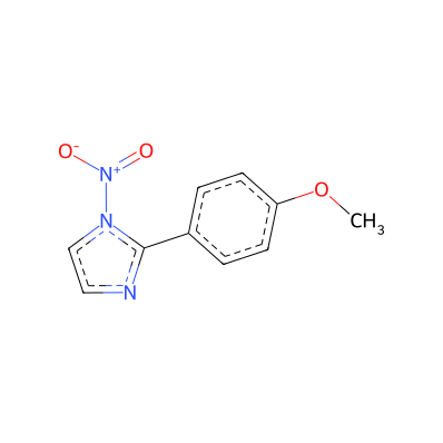 COc1ccc(-c2nccn2[N+](=O)[O-])cc1